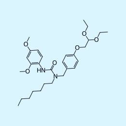 CCCCCCCN(Cc1ccc(OCC(OCC)OCC)cc1)C(=O)Nc1ccc(OC)cc1OC